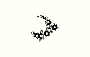 CN(CCO)c1ccc(-n2c(=O)n(C[C@H]3CC[C@H](NC(=O)c4cc(Cl)cnc4C(F)F)CC3)c3ccccc32)cn1